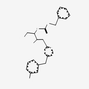 CC(=O)OCC(NC(=O)OCc1ccccc1)C(C)Cc1noc(Cc2cccc(C(F)(F)F)c2)n1